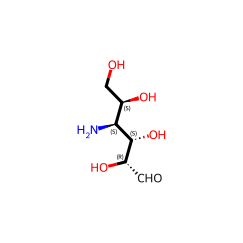 N[C@H]([C@H](O)[C@@H](O)C=O)[C@H](O)CO